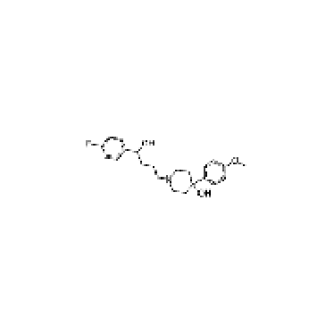 COc1ccc(C2(O)CCN(CCCC(O)c3ccc(F)cc3)CC2)cc1